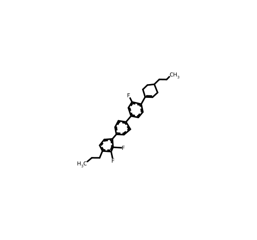 CCCc1ccc(-c2ccc(-c3ccc(C4=CCC(CCC)CC4)c(F)c3)cc2)c(F)c1F